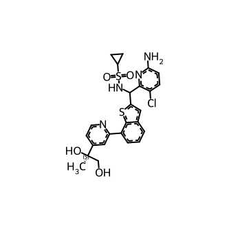 C[C@@](O)(CO)c1ccnc(-c2cccc3cc(C(NS(=O)(=O)C4CC4)c4nc(N)ccc4Cl)sc23)c1